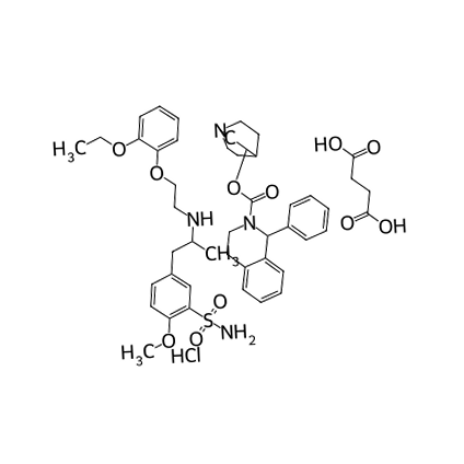 CCOc1ccccc1OCCNC(C)Cc1ccc(OC)c(S(N)(=O)=O)c1.Cl.O=C(O)CCC(=O)O.O=C(OC1CN2CCC1CC2)N1CCc2ccccc2C1c1ccccc1